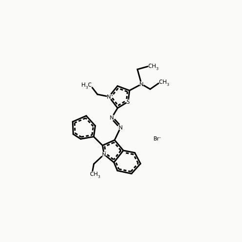 CCN(CC)c1c[n+](CC)c(/N=N/c2c(-c3ccccc3)n(CC)c3ccccc23)s1.[Br-]